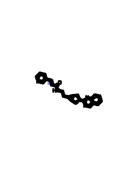 O=C(/C=C/c1cccnc1)NCCC1C2CN(c3ncc4ccccc4n3)CC12